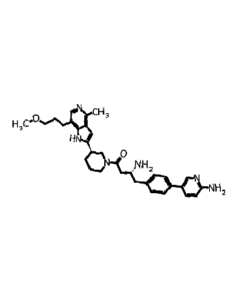 COCCCc1cnc(C)c2cc([C@@H]3CCCN(C(=O)C[C@H](N)Cc4ccc(-c5ccc(N)nc5)cc4)C3)[nH]c12